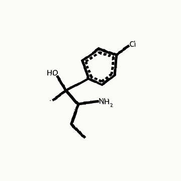 [CH2]C(O)(c1ccc(Cl)cc1)C(N)CC